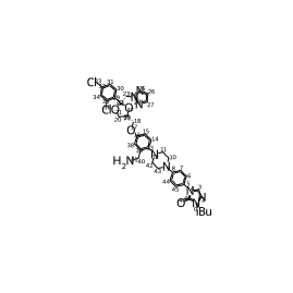 CCC(C)n1ncn(-c2ccc(N3CCN(c4ccc(OC[C@@H]5CO[C@@](Cn6nccn6)(c6ccc(Cl)cc6Cl)O5)cc4CN)CC3)cc2)c1=O